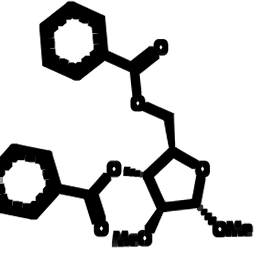 CO[C@H]1O[C@H](COC(=O)c2ccccc2)[C@@H](OC(=O)c2ccccc2)[C@@H]1OC